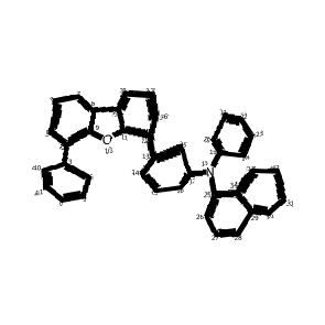 c1ccc(-c2cccc3c2oc2c(-c4cccc(N(c5ccccc5)c5cccc6ccccc56)c4)cccc23)cc1